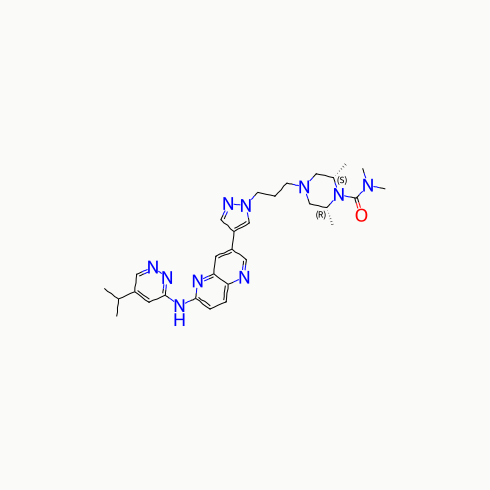 CC(C)c1cnnc(Nc2ccc3ncc(-c4cnn(CCCN5C[C@@H](C)N(C(=O)N(C)C)[C@@H](C)C5)c4)cc3n2)c1